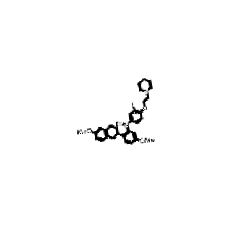 CCN(c1ccc(OCCN2CCCCC2)c(F)c1)c1cc(OC)ccc1C1CCc2cc(OC)ccc2C1